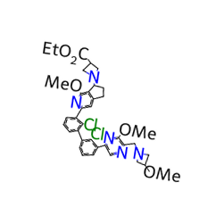 CCOC(=O)C1CN(C2CCc3cc(-c4cccc(-c5cccc(-c6cnc(CN7CC(OC)C7)c(OC)n6)c5Cl)c4Cl)nc(OC)c32)C1